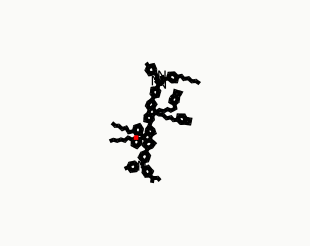 CCCCCCc1ccc(-c2nc(-c3ccc(C)cc3)nc(-c3ccc(-c4ccc5c(c4)C(CCCCCc4ccc6c(c4)CC6)(CCCCCc4ccc6c(c4)CC6)c4cc(-c6ccc7c(c6)C(c6cccc(CCCCCC)c6)(c6cccc(CCCCCC)c6)c6cc(-c8ccc(N(c9ccc(C)cc9)c9ccc(C(C)CC)cc9)cc8)ccc6-7)ccc4-5)cc3)n2)cc1